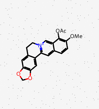 COc1ccc2cc3[n+](cc2c1OC(C)=O)CCc1cc2c(cc1-3)OCO2